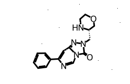 O=c1n(C[C@H]2COCCN2)nc2cc(-c3ccccc3)ncn12